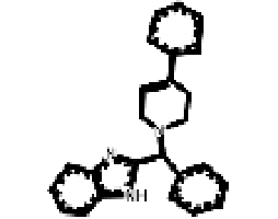 C1=C(c2ccccc2)CCN(C(c2ccccc2)c2nc3ccccc3[nH]2)C1